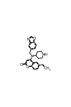 C=Cc1ccc2oc(=O)cc(N(Cc3ccc4ocnc4c3)C3CCNCC3)c2c1